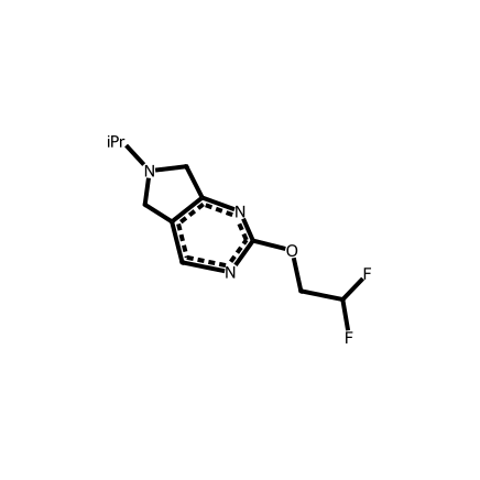 CC(C)N1Cc2cnc(OCC(F)F)nc2C1